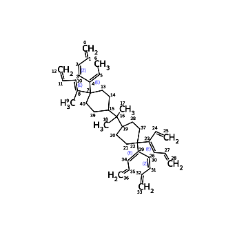 C=C/C=C\C(=C/C)C1(/C(C)=C/C=C)CCC(C(C)(C)C2CCC(/C(C=C)=C/C=C)(C(/C=C\C=C)=C/C=C)CC2)CC1